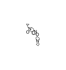 O=C1c2ccc(OC3CCN(C4CCC4)CC3)nc2CCN1CC1CC1